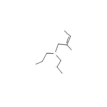 [CH2]C=C(C)CN(CCC)CCC.[LiH]